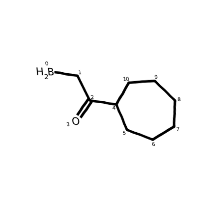 BCC(=O)C1CCCCCC1